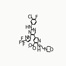 COC(=O)c1cc(-c2cnc(Nc3ccc(F)c(Cl)c3)nc2-n2ccc(C(F)(F)F)n2)cnc1NCCN1CCOCC1